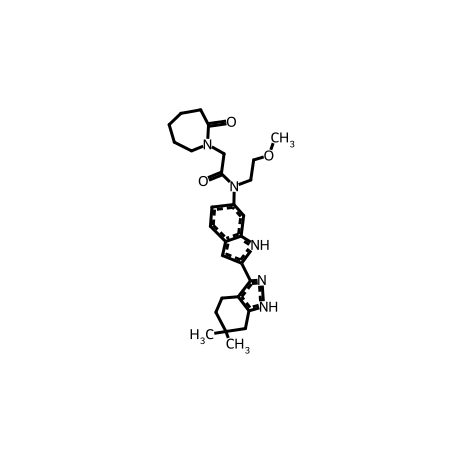 COCCN(C(=O)CN1CCCCCC1=O)c1ccc2cc(-c3n[nH]c4c3CCC(C)(C)C4)[nH]c2c1